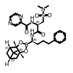 CN(C)S(=O)(=O)C[C@H](NC(=O)c1cnccn1)C(=O)N[C@@H](CCCc1ccccc1)B1O[C@]2(C)C[C@@H]3C[C@@H](C3(C)C)[C@]2(C)O1